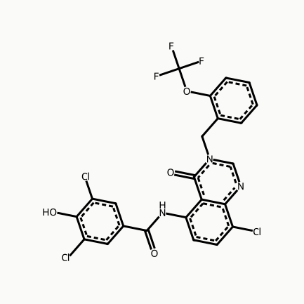 O=C(Nc1ccc(Cl)c2ncn(Cc3ccccc3OC(F)(F)F)c(=O)c12)c1cc(Cl)c(O)c(Cl)c1